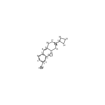 Clc1cc(Br)ccc1C=C1CCN(C2CCC2)CC1